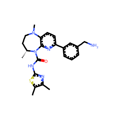 Cc1nc(NC(=O)N2c3nc(-c4cccc(CN)c4)ccc3N(C)CC[C@H]2C)sc1C